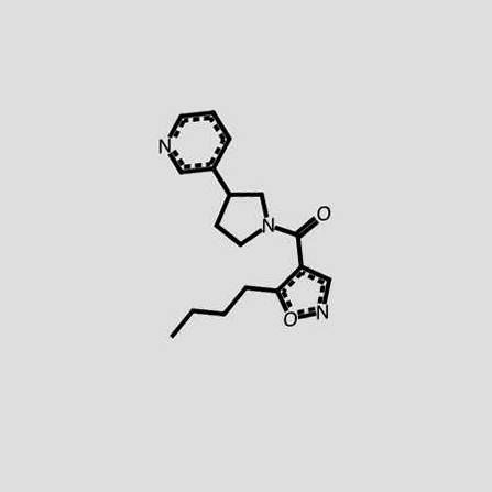 CCCCc1oncc1C(=O)N1CCC(c2cccnc2)C1